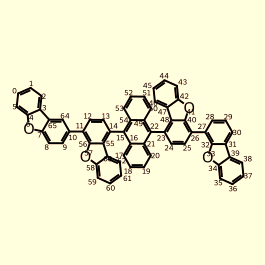 c1ccc2c(c1)oc1ccc(-c3ccc(-c4c5ccccc5c(-c5ccc(-c6cccc7c6oc6ccccc67)c6oc7ccccc7c56)c5ccccc45)c4c3oc3ccccc34)cc12